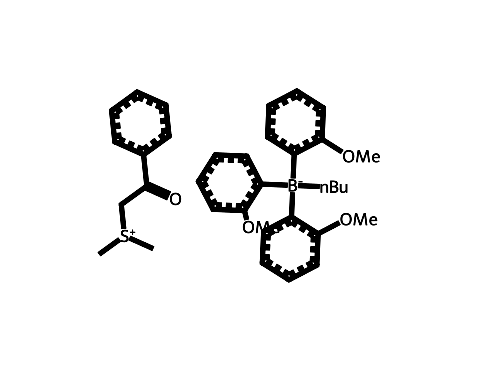 CCCC[B-](c1ccccc1OC)(c1ccccc1OC)c1ccccc1OC.C[S+](C)CC(=O)c1ccccc1